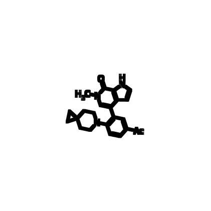 CC(=O)c1ccc(N2CCC3(CC2)CC3)c(-c2cn(C)c(=O)c3[nH]ccc23)c1